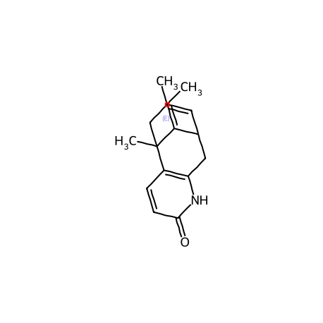 C/C=C1\C2C=C(C)CC1(C)c1ccc(=O)[nH]c1C2